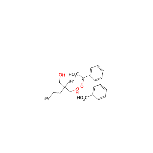 CC(C)CCC(CO)(CO)C(C)C.O=C(O)C(=O)c1ccccc1.O=C(O)c1ccccc1